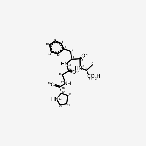 C[C@H](NC(=O)[C@H](Cc1ccccc1)NC(=O)CNC(=O)[C@@H]1CCCN1)C(=O)O